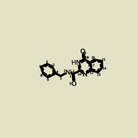 O=C(NCc1c[c]ccc1)c1nc2ccccc2c(=O)[nH]1